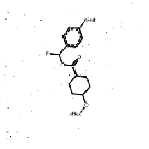 CCCCCCOC1CCC(C(=O)OC(CC)c2ccc(CCCCC)cc2)CC1